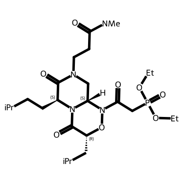 CCOP(=O)(CC(=O)N1O[C@H](CC(C)C)C(=O)N2[C@@H]1CN(CCC(=O)NC)C(=O)[C@@H]2CCC(C)C)OCC